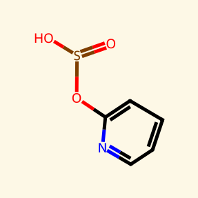 O=S(O)Oc1ccccn1